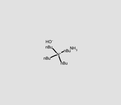 CCCC[N+](CCCC)(CCCC)CCCC.N.[OH-]